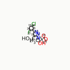 CN(CC1(CO)CCOC1=O)c1nnc(-c2cc(Cl)ccc2F)cc1C(=O)O